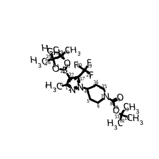 Cc1nn(C2CCN(C(=O)OC(C)(C)C)CC2)c(C(F)(F)F)c1B1OC(C)(C)C(C)(C)O1